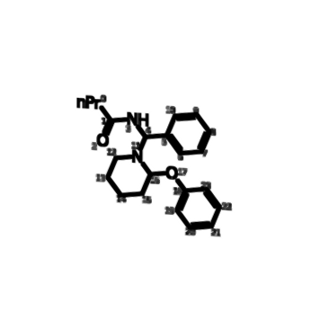 CCCC(=O)NC(c1ccccc1)N1CCCCC1Oc1ccccc1